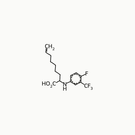 C=CCCCCCC(Nc1ccc(F)c(C(F)(F)F)c1)C(=O)O